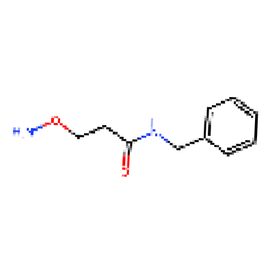 NOCCC(=O)NCc1ccccc1